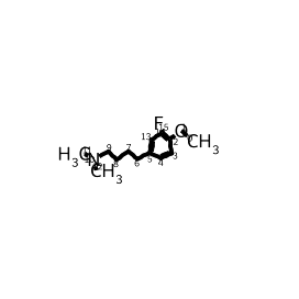 COc1ccc(CCCCN(C)C)cc1F